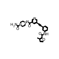 Cc1ccoc1C(=O)Nc1cccc(C#Cc2cncc(C(=O)N=S3CCN(C(N)=O)CC3)c2)c1